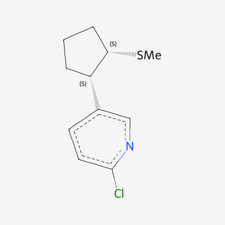 CS[C@H]1CCC[C@H]1c1ccc(Cl)nc1